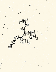 CN/C(=N\C=N)[C@@H](C)N=C=S